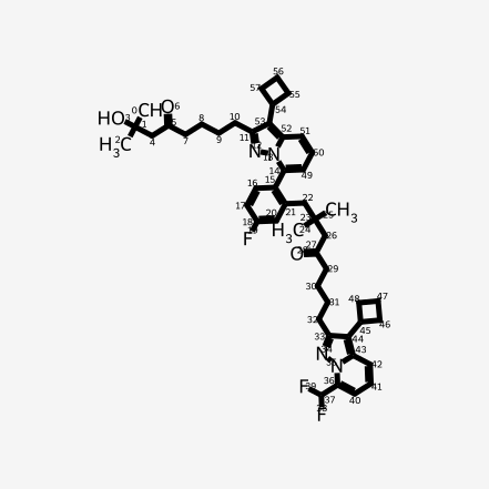 CC(C)(O)CC(=O)CCCCc1nn2c(-c3ccc(F)cc3CC(C)(C)CC(=O)CCCCc3nn4c(C(F)F)cccc4c3C3CCC3)cccc2c1C1CCC1